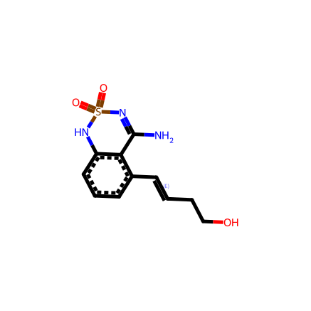 NC1=NS(=O)(=O)Nc2cccc(/C=C/CCO)c21